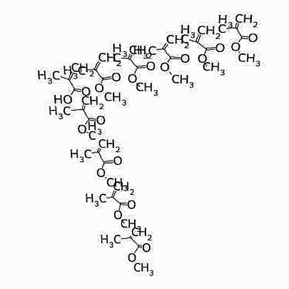 C=C(C)C(=O)O.C=C(C)C(=O)OC.C=C(C)C(=O)OC.C=C(C)C(=O)OC.C=C(C)C(=O)OC.C=C(C)C(=O)OC.C=C(C)C(=O)OC.C=C(C)C(=O)OC.C=C(C)C(=O)OC.C=C(C)C(=O)OC